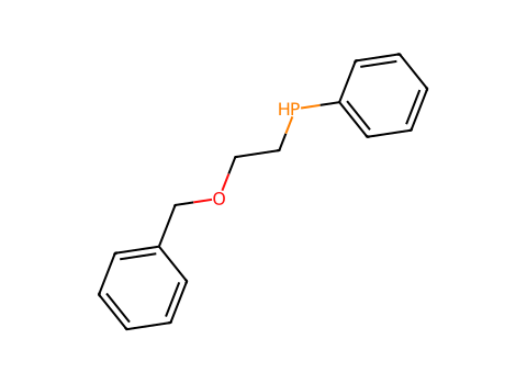 c1ccc(COCCPc2ccccc2)cc1